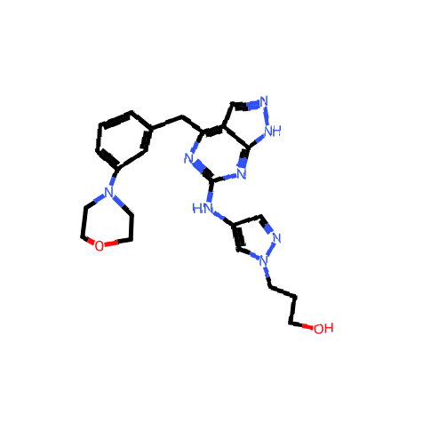 OCCCn1cc(Nc2nc(Cc3cccc(N4CCOCC4)c3)c3cn[nH]c3n2)cn1